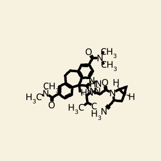 CC(C)[C@H](CC1(c2nnn[nH]2)c2ccc(C(=O)N(C)C)cc2CCc2cc(C(=O)N(C)C)ccc21)NCC(=O)N1C(C#N)C[C@@H]2C[C@@H]21